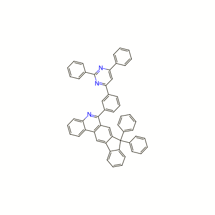 c1ccc(-c2cc(-c3cccc(-c4nc5ccccc5c5cc6c(cc45)C(c4ccccc4)(c4ccccc4)c4ccccc4-6)c3)nc(-c3ccccc3)n2)cc1